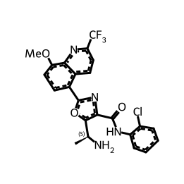 COc1ccc(-c2nc(C(=O)Nc3ccccc3Cl)c([C@H](C)N)o2)c2ccc(C(F)(F)F)nc12